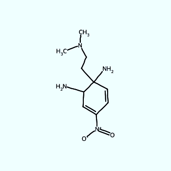 CN(C)CCC1(N)C=CC([N+](=O)[O-])=CC1N